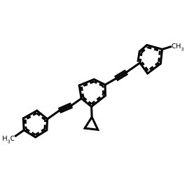 Cc1ccc(C#Cc2ccc(C#Cc3ccc(C)cc3)c(C3CC3)c2)cc1